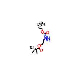 CCC(C)(C)C(=O)OCCNC(=O)OCCSC